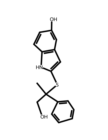 CC(CO)(Sc1cc2cc(O)ccc2[nH]1)c1ccccc1